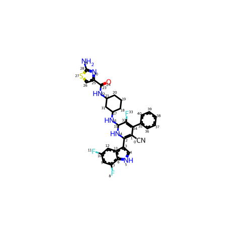 N#CC1=C(c2c[nH]c3c(F)cc(F)cc23)NC(NC2CCCC(NC(=O)c3csc(N)n3)C2)C(F)=C1c1ccccc1